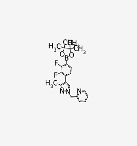 Cc1nn(Cc2ccccn2)cc1-c1ccc(B2OC(C)(C)C(C)(C)O2)c(F)c1F